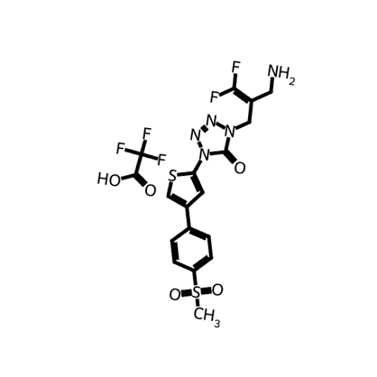 CS(=O)(=O)c1ccc(-c2csc(-n3nnn(CC(CN)=C(F)F)c3=O)c2)cc1.O=C(O)C(F)(F)F